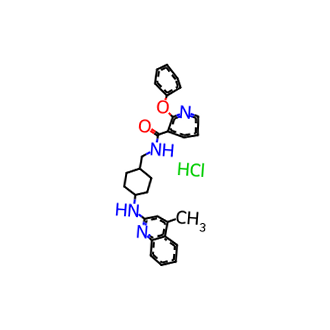 Cc1cc(NC2CCC(CNC(=O)c3cccnc3Oc3ccccc3)CC2)nc2ccccc12.Cl